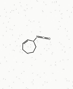 O=C=NC1C=CCCCC1